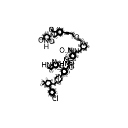 CC1(C)CCC(CN2CCN(c3ccc(C(=O)NS(=O)(=O)c4ccc(NCC5CCCN(CCOCCC#Cc6ccc7c(c6)CN(C6CCC(=O)NC6=O)C7=O)C5)c([N+](=O)[O-])c4)c(Oc4cnc5[nH]ccc5c4)c3)CC2)=C(c2ccc(Cl)cc2)C1